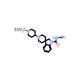 CCOC(=O)N1CCC(N2CCC3(CC2)CN(C(=O)NC(C)C)c2ccccc23)CC1